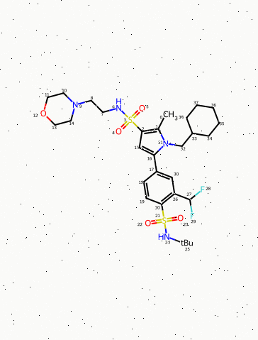 Cc1c(S(=O)(=O)NCCN2CCOCC2)cc(-c2ccc(S(=O)(=O)NC(C)(C)C)c(C(F)F)c2)n1CC1CCCCC1